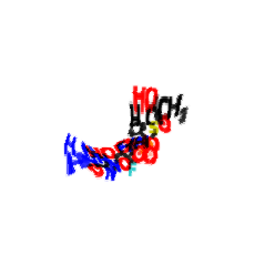 CC(C)(CO)C(=O)SCCOP(=O)(NCc1ccccc1)OC[C@@]1(CF)O[C@@H](n2cnc3c(=O)[nH]c(N)nc32)[C@H](O)[C@@H]1O